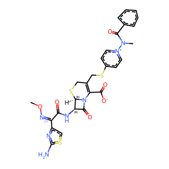 CO/N=C(\C(=O)N[C@@H]1C(=O)N2C(C(=O)[O-])=C(CSc3cc[n+](N(C)C(=O)c4ccccc4)cc3)CS[C@H]12)c1csc(N)n1